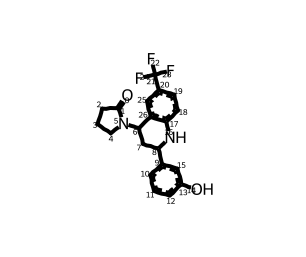 O=C1CCCN1C1CC(c2cccc(O)c2)Nc2ccc(C(F)(F)F)cc21